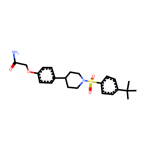 CC(C)(C)c1ccc(S(=O)(=O)N2CCC(c3ccc(OCC(N)=O)cc3)CC2)cc1